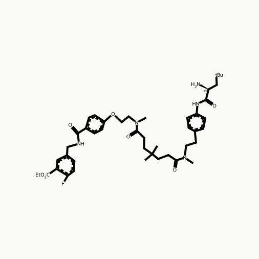 CCOC(=O)c1cc(CNC(=O)c2ccc(OCCN(C)C(=O)CCC(C)(C)CCC(=O)N(C)CCc3ccc(NC(=O)[C@@H](N)CC(C)(C)C)cc3)cc2)ccc1F